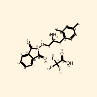 Cc1ccc(CC(N)CON2C(=O)c3ccccc3C2=O)c(C)c1.O=C(O)C(F)(F)F